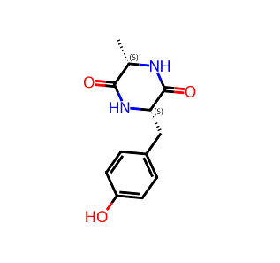 C[C@@H]1NC(=O)[C@H](Cc2ccc(O)cc2)NC1=O